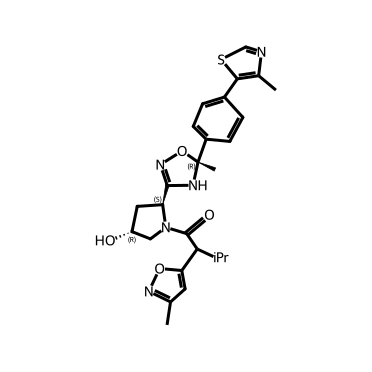 Cc1cc(C(C(=O)N2C[C@H](O)C[C@H]2C2=NO[C@](C)(c3ccc(-c4scnc4C)cc3)N2)C(C)C)on1